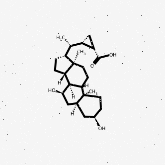 C[C@H]([C@@H]1C[C@@H]1C(=O)O)[C@H]1CC[C@H]2[C@@H]3[C@H](O)C[C@@H]4C[C@H](O)CC[C@]4(C)[C@H]3CC[C@]12C